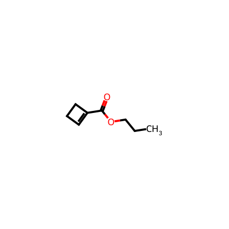 CCCOC(=O)C1=CCC1